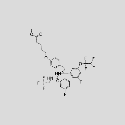 COC(=O)CCCCOc1ccc(C[C@@](NC(=O)NCC(F)(F)F)(c2ccc(F)cc2)c2cc(F)cc(OC(F)(F)C(F)F)c2)cc1